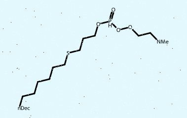 CCCCCCCCCCCCCCCCSCCCO[PH](=O)OOCCNC